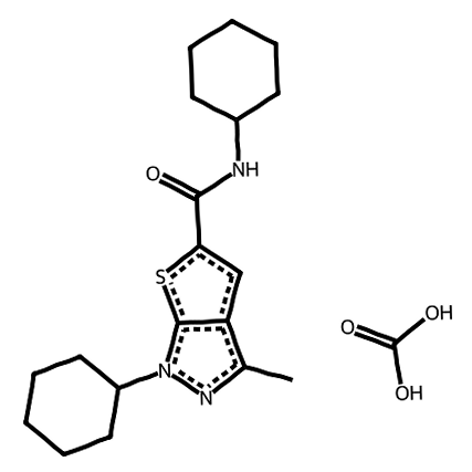 Cc1nn(C2CCCCC2)c2sc(C(=O)NC3CCCCC3)cc12.O=C(O)O